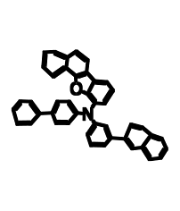 c1ccc(-c2ccc(N(c3cccc(-c4ccc5ccccc5c4)c3)c3cccc4c3oc3c5ccccc5ccc43)cc2)cc1